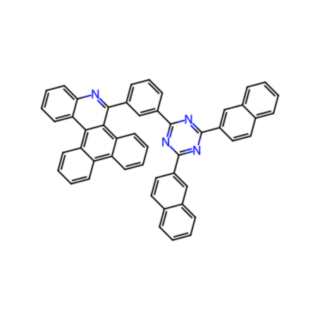 c1cc(-c2nc(-c3ccc4ccccc4c3)nc(-c3ccc4ccccc4c3)n2)cc(-c2nc3ccccc3c3c4ccccc4c4ccccc4c23)c1